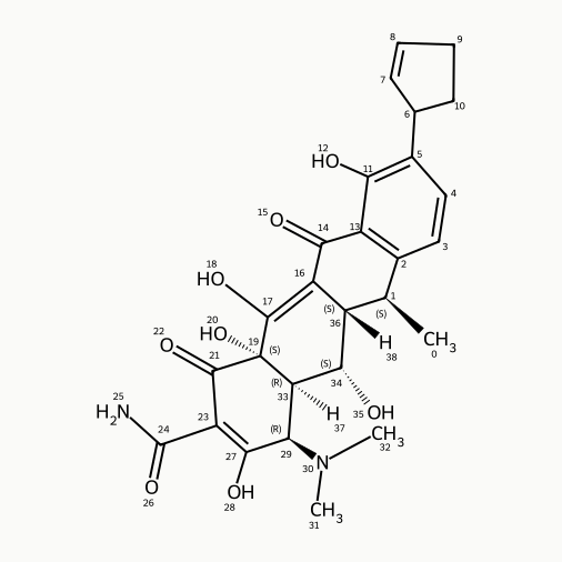 C[C@@H]1c2ccc(C3C=CCC3)c(O)c2C(=O)C2=C(O)[C@]3(O)C(=O)C(C(N)=O)=C(O)[C@H](N(C)C)[C@@H]3[C@@H](O)[C@H]21